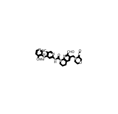 COc1ccncc1Nc1cc(NC(=O)N2CCCc3cc(CN4CCOCC4=C=O)c(C=O)nc32)ncc1C#N